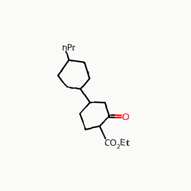 CCCC1CCC(C2CCC(C(=O)OCC)C(=O)C2)CC1